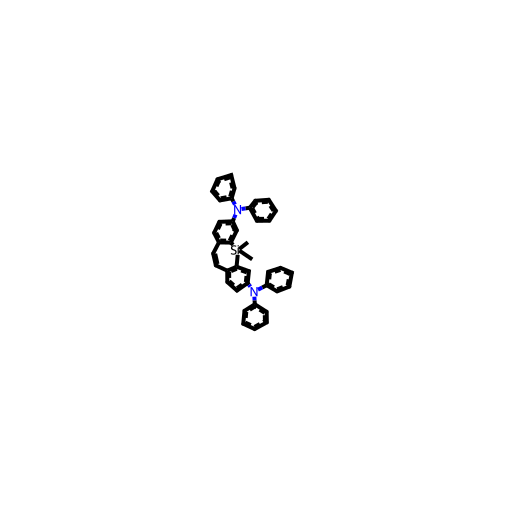 C[Si]1(C)c2cc(N(c3ccccc3)c3ccccc3)ccc2C=Cc2ccc(N(c3ccccc3)c3ccccc3)cc21